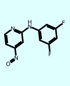 O=Nc1ccnc(Nc2cc(F)cc(F)c2)c1